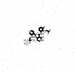 C=C(Nc1cccc(F)c1OCC(F)F)C1=C(NCc2ccncc2OCC(C)(C)OC)CCNC1=O